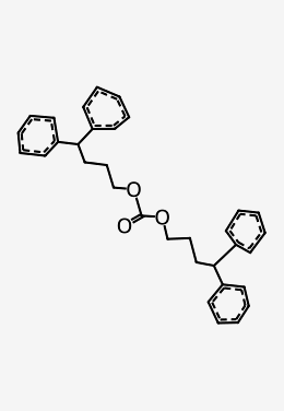 O=C(OCCCC(c1ccccc1)c1ccccc1)OCCCC(c1ccccc1)c1ccccc1